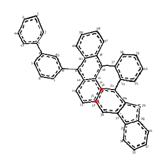 c1ccc(-c2cccc(-c3c4ccccc4c(-c4ccccc4-c4cccc5c4sc4ccccc45)c4ccccc34)c2)cc1